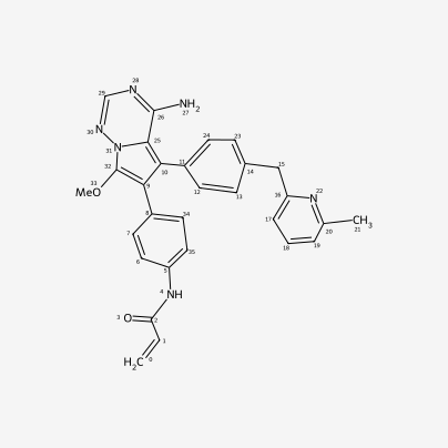 C=CC(=O)Nc1ccc(-c2c(-c3ccc(Cc4cccc(C)n4)cc3)c3c(N)ncnn3c2OC)cc1